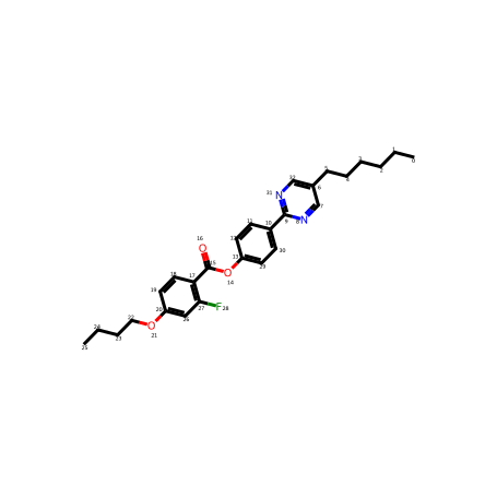 CCCCCCc1cnc(-c2ccc(OC(=O)c3ccc(OCCCC)cc3F)cc2)nc1